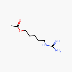 CC(=O)OCCCCCNC(=N)N